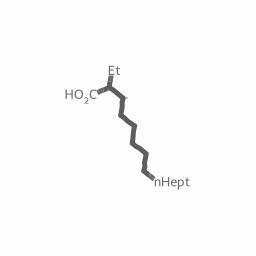 CCCCCCCCCCCC[CH]C(CC)C(=O)O